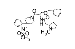 CN1CCC[C@H]1CC(=O)N[C@H](COCc1ccccc1)C(=O)N1CCC2(CC1)CN(S(C)(=O)=O)c1ccccc12